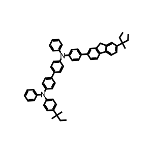 CCC(C)(C)c1ccc(N(c2ccccc2)c2ccc(-c3ccc(N(c4ccccc4)c4ccc(-c5ccc6c(c5)Cc5cc(C(C)(CC)CC)ccc5-6)cc4)cc3)cc2)cc1